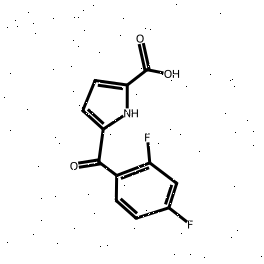 O=C(O)c1ccc(C(=O)c2ccc(F)cc2F)[nH]1